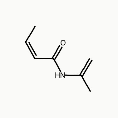 C=C(C)NC(=O)/C=C\C